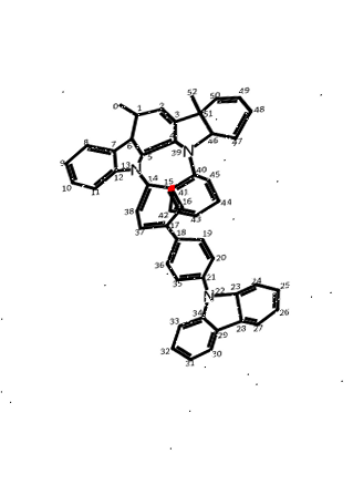 CC1C=C2C(=C3C1c1ccccc1N3c1ccc(-c3ccc(-n4c5ccccc5c5ccccc54)cc3)cc1)N(c1ccccc1)C1C=CC=CC21C